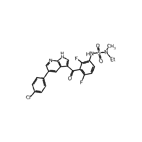 CCN(C)S(=O)(=O)Nc1ccc(F)c(C(=O)c2c[nH]c3ncc(-c4ccc(Cl)cc4)cc23)c1F